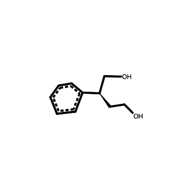 OCC[C@H](CO)c1ccccc1